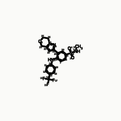 CNS(=O)(=O)c1ccc(Nc2ccc(C(F)(F)F)cc2)c(-c2cc3n(n2)CCOC3)c1